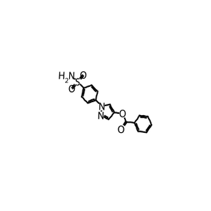 NS(=O)(=O)c1ccc(-n2cc(OC(=O)c3ccccc3)cn2)cc1